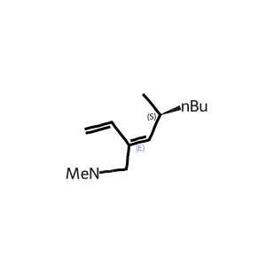 C=C/C(=C\[C@@H](C)CCCC)CNC